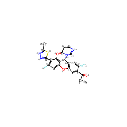 COC(=O)c1cc(Oc2ccc(-c3nnc(C(C)C)s3)c(F)c2)c(Cn2cnccc2=O)cc1F